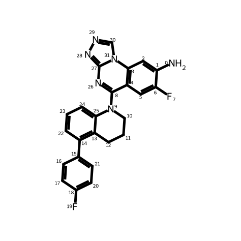 Nc1cc2c(cc1F)c(N1CCCc3c(-c4ccc(F)cc4)cccc31)nc1nncn12